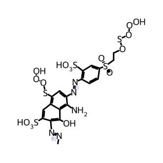 C/N=N/c1c(S(=O)(=O)O)cc2c(SOOO)cc(/N=N/c3ccc(S(=O)(=O)CCOSOOO)cc3S(=O)(=O)O)c(N)c2c1O